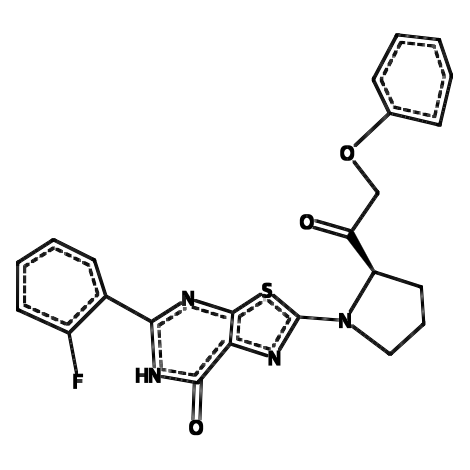 O=C(COc1ccccc1)[C@H]1CCCN1c1nc2c(=O)[nH]c(-c3ccccc3F)nc2s1